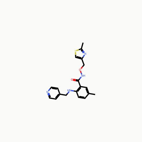 Cc1ccc(NCc2ccncc2)c(C(=O)NOCc2csc(C)n2)c1